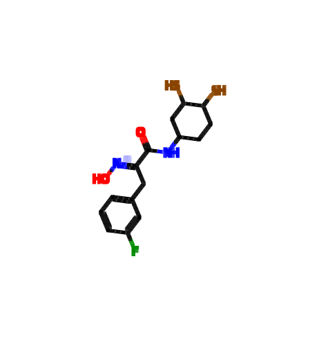 O=C(NC1CCC(S)C(S)C1)/C(Cc1cccc(F)c1)=N/O